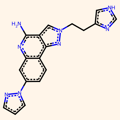 Nc1nc2cc(-n3cccn3)ccc2c2nn(CCc3c[nH]cn3)cc12